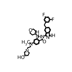 CN(CCN1CC[C@@H](O)C1)c1ccc(C(=O)Nc2n[nH]c3ccc(Cc4cc(F)cc(F)c4)cc23)c(NC2CCOCC2)c1